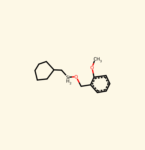 COc1ccccc1CO[SiH2]CC1CCCCC1